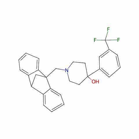 OC1(c2cccc(C(F)(F)F)c2)CCN(CC23CC(c4ccccc42)c2ccccc23)CC1